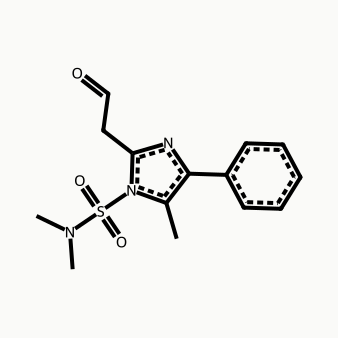 Cc1c(-c2ccccc2)nc(CC=O)n1S(=O)(=O)N(C)C